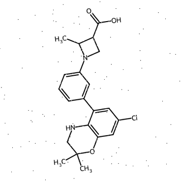 CC1C(C(=O)O)CN1c1cccc(-c2cc(Cl)cc3c2NCC(C)(C)O3)c1